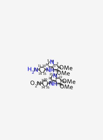 COc1cc2nccc(Nc3ccc(N)cc3)c2cc1OC.COc1cc2nccc(Nc3ccc([N+](=O)[O-])cc3)c2cc1OC